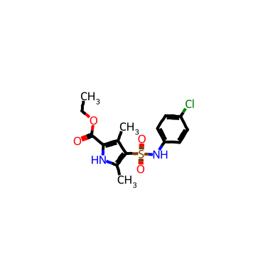 CCOC(=O)c1[nH]c(C)c(S(=O)(=O)Nc2ccc(Cl)cc2)c1C